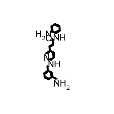 NCc1cccc(CNc2ccc(C=CC(=O)Nc3ccccc3N)cn2)c1